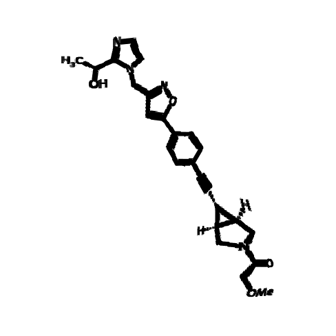 COCC(=O)N1C[C@@H]2[C@@H](C#Cc3ccc(-c4cc(Cn5ccnc5[C@H](C)O)no4)cc3)[C@@H]2C1